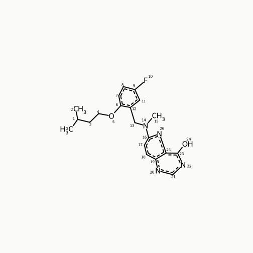 CC(C)CCOc1ccc(F)cc1CN(C)c1ccc2ncnc(O)c2n1